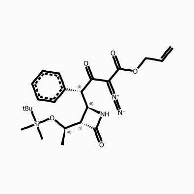 C=CCOC(=O)C(=[N+]=[N-])C(=O)[C@@H](c1ccccc1)[C@H]1NC(=O)[C@@H]1[C@@H](C)O[Si](C)(C)C(C)(C)C